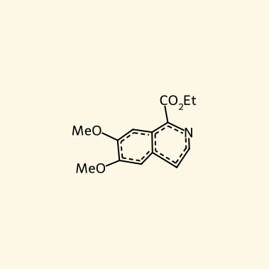 CCOC(=O)c1nccc2cc(OC)c(OC)cc12